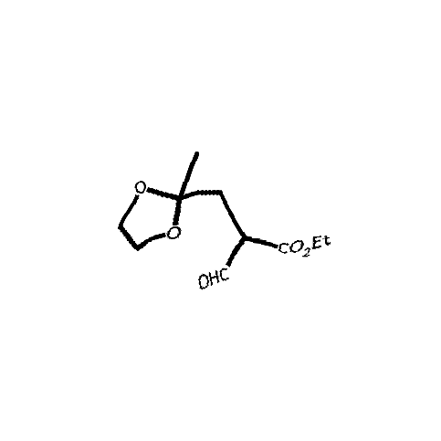 CCOC(=O)C(C=O)CC1(C)OCCO1